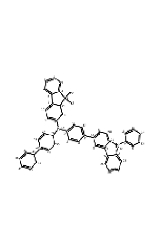 CC1(C)c2ccccc2C2=CC=C(N(c3ccc(-c4ccc5c(c4)c4ccccc4n5-c4ccccc4)cc3)C3C=CC(C4C=CC=CC4)=CC3)CC21